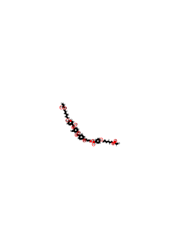 C=CC(=O)OCCCCCCOc1ccc(C(=O)OCCCCOc2ccc(C(=O)Oc3ccc(OC(=O)c4ccc(OCCCCCCOC(=O)C=C)cc4)c(C)c3)cc2)cc1